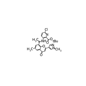 Cc1cc([C@@H](C)Nc2ccc(Cl)nc2C(=O)OC(C)(C)C)c2oc(-c3cnn(C)c3)cc(=O)c2c1